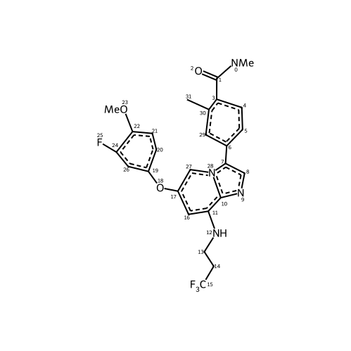 CNC(=O)c1ccc(-c2cnc3c(NCCC(F)(F)F)cc(Oc4ccc(OC)c(F)c4)cn23)cc1C